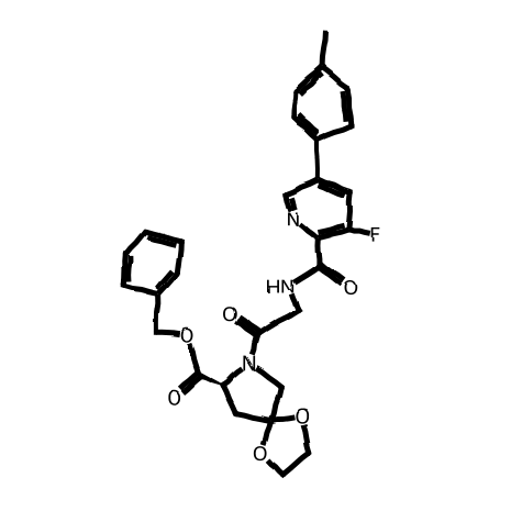 Cc1ccc(-c2cnc(C(=O)NCC(=O)N3CC4(C[C@H]3C(=O)OCc3ccccc3)OCCO4)c(F)c2)cc1